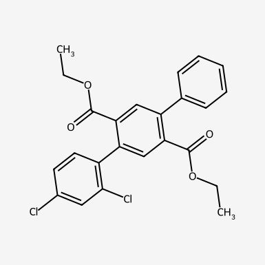 CCOC(=O)c1cc(-c2ccc(Cl)cc2Cl)c(C(=O)OCC)cc1-c1ccccc1